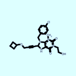 Cn1c2c(c(=O)n(CCO)c1=O)NC(C#CCOC1CCC1)N2Cc1ccc(Cl)cc1